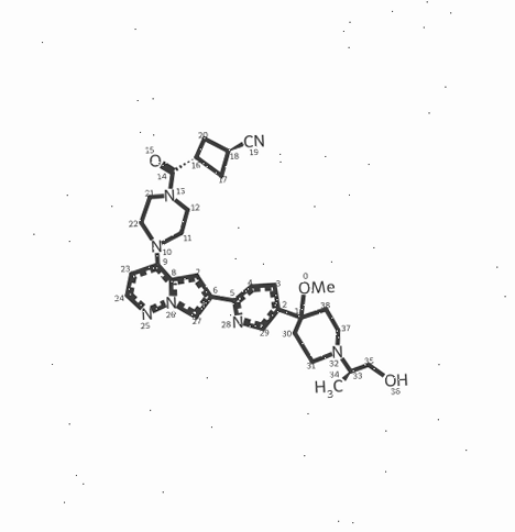 COC1(c2ccc(-c3cc4c(N5CCN(C(=O)[C@H]6C[C@H](C#N)C6)CC5)ccnn4c3)nc2)CCN([C@H](C)CO)CC1